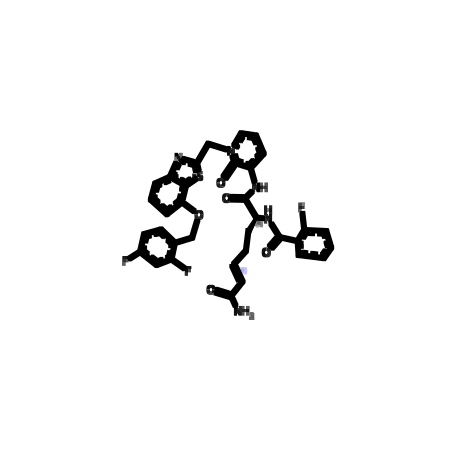 NC(=O)/C=C/CC[C@H](NC(=O)c1ccccc1F)C(=O)Nc1cccn(Cc2nc3cccc(OCc4ccc(F)cc4F)c3s2)c1=O